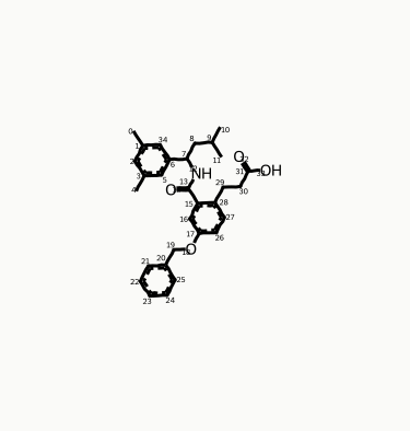 Cc1cc(C)cc(C(CC(C)C)NC(=O)c2cc(OCc3ccccc3)ccc2CCC(=O)O)c1